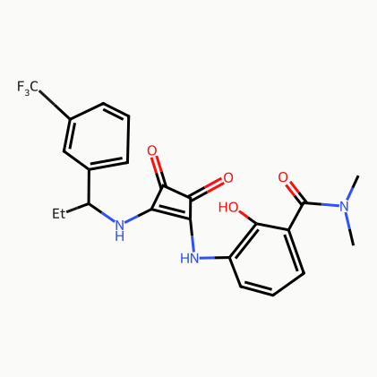 CCC(Nc1c(Nc2cccc(C(=O)N(C)C)c2O)c(=O)c1=O)c1cccc(C(F)(F)F)c1